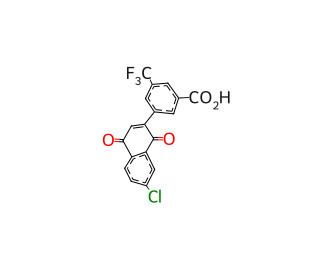 O=C(O)c1cc(C2=CC(=O)c3ccc(Cl)cc3C2=O)cc(C(F)(F)F)c1